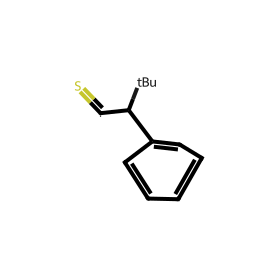 CC(C)(C)C([C]=S)c1ccccc1